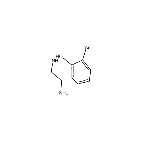 CC(=O)c1ccccc1O.NCCN